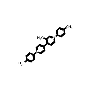 Cc1ccc(-[n+]2ccc(-c3cc[n+](-c4ccc(C)cc4)cc3C)cc2)cc1